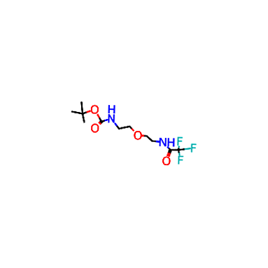 CC(C)(C)OC(=O)NCCOCCNC(=O)C(F)(F)F